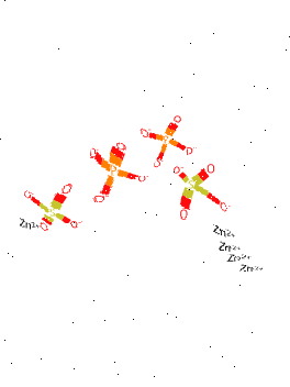 O=P([O-])([O-])[O-].O=P([O-])([O-])[O-].O=S(=O)([O-])[O-].O=S(=O)([O-])[O-].[Zn+2].[Zn+2].[Zn+2].[Zn+2].[Zn+2]